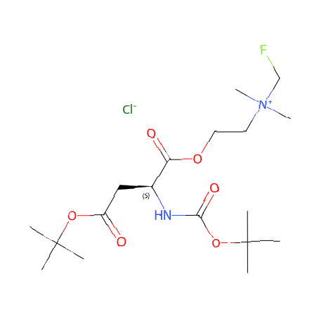 CC(C)(C)OC(=O)C[C@H](NC(=O)OC(C)(C)C)C(=O)OCC[N+](C)(C)CF.[Cl-]